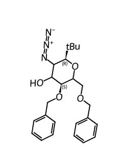 CC(C)(C)[C@H]1OC(COCc2ccccc2)[C@@H](OCc2ccccc2)C(O)C1N=[N+]=[N-]